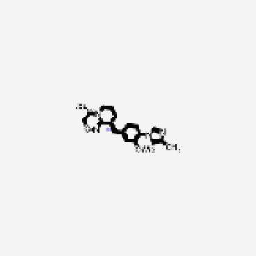 COc1cc(/C=C2\CCCN3C2=NOC[C@@H]3C(C)(C)C)ccc1-n1cnc(C)c1